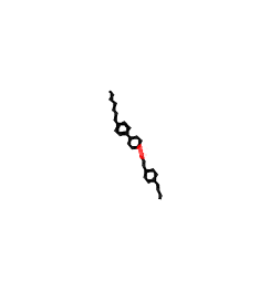 CCCCCCCc1ccc(C2CCC(OCCCC3CCC(CCCC)CC3)CC2)cc1